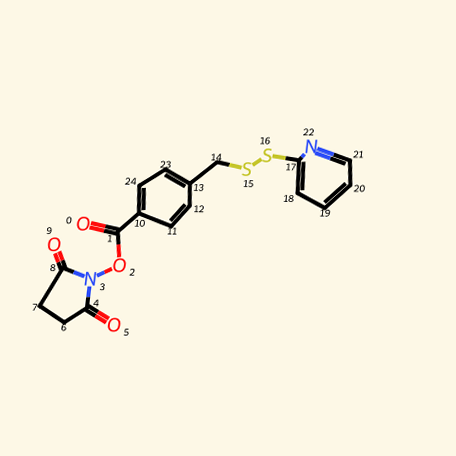 O=C(ON1C(=O)CCC1=O)c1ccc(CSSc2ccccn2)cc1